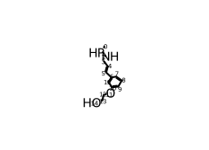 CPNC/C=C/c1cccc(OCCO)c1